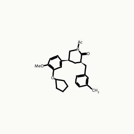 COc1ccc([C@@H]2C[C@H](Cc3cccc(C)c3)C(=O)N(C(C)=O)C2)cc1OC1CCCC1